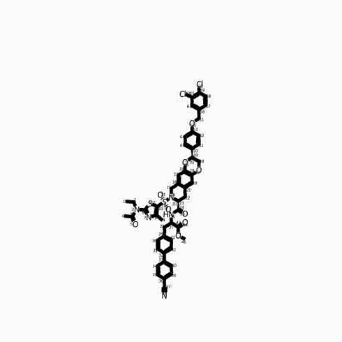 CCN(C(C)=O)c1nc(C)c(S(=O)(=O)N2Cc3cc4c(cc3C[C@H]2C(=O)NC(Cc2ccc(-c3ccc(C#N)cc3)cc2)C(=O)OC)OC[C@H](c2ccc(OCc3ccc(Cl)c(Cl)c3)cc2)O4)s1